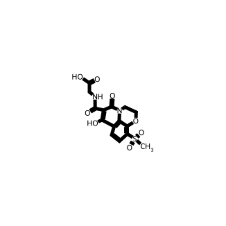 CS(=O)(=O)c1ccc2c(O)c(C(=O)NCC(=O)O)c(=O)n3c2c1OCC3